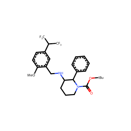 COc1ccc(C(C(F)(F)F)C(F)(F)F)cc1CNC1CCCN(C(=O)OC(C)(C)C)C1c1ccccc1